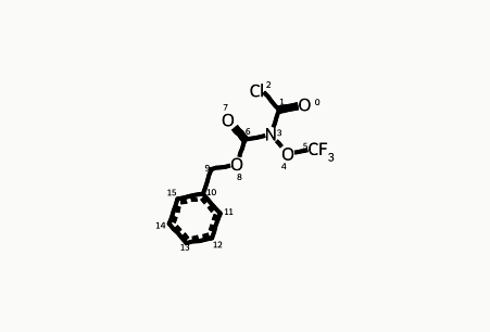 O=C(Cl)N(OC(F)(F)F)C(=O)OCc1ccccc1